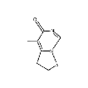 Cc1c2n(cnc1=O)SCC2